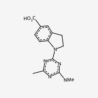 CNc1nc(C)nc(N2CCc3cc(C(=O)O)ccc32)n1